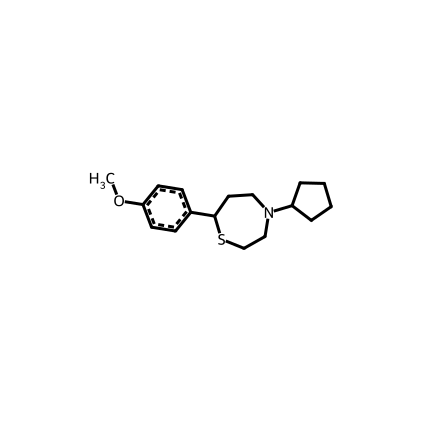 COc1ccc(C2CCN(C3CCCC3)CCS2)cc1